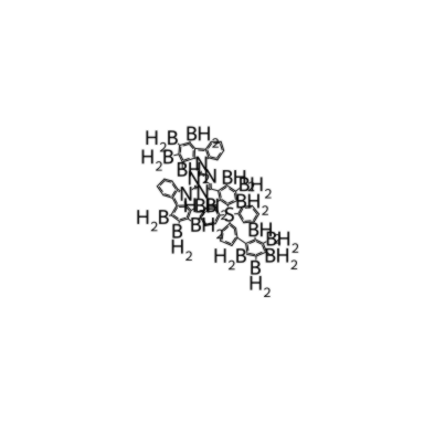 Bc1c(B)c(B)c(-c2cccc(S(c3ccccc3)(c3ccccc3)c3c(B)c(B)c(B)c(-c4nc(-n5c6ccccc6c6c(B)c(B)c(B)c(B)c65)nc(-n5c6ccccc6c6c(B)c(B)c(B)c(B)c65)n4)c3B)c2)c(B)c1B